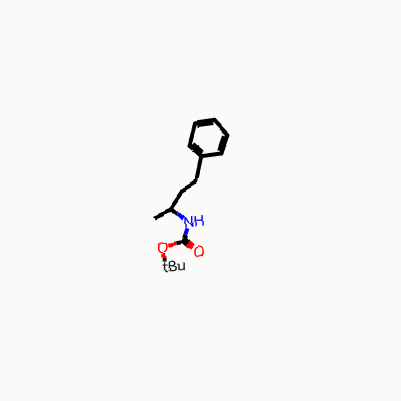 CC(CCc1ccccc1)NC(=O)OC(C)(C)C